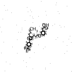 CCCCc1oc(-c2ccc(C(F)(F)F)cc2)cc1CCCOc1cccc(CC(=O)O)c1